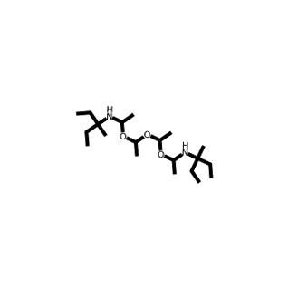 CCC(C)(CC)NC(C)OC(C)OC(C)OC(C)NC(C)(CC)CC